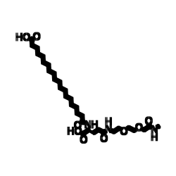 CNC(=O)COCCOCCNC(=O)CC[C@H](NC(=O)CCCCCCCCCCCCCCCCCCC(=O)O)C(=O)O